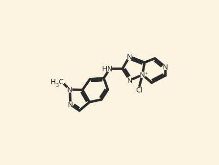 Cn1ncc2ccc(NC3=N[N+]4(Cl)C=CN=CC4=N3)cc21